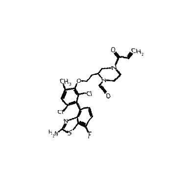 C=CC(=O)N1CCN(C=O)C(CCOc2c(C)cc(Cl)c(-c3ccc(F)c4sc(N)nc34)c2Cl)C1